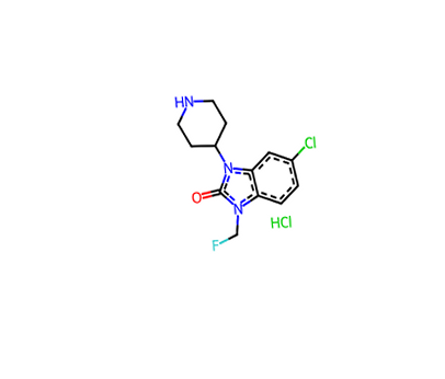 Cl.O=c1n(CF)c2ccc(Cl)cc2n1C1CCNCC1